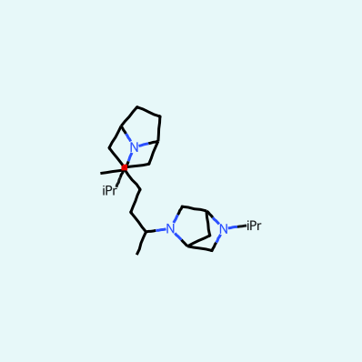 CC(C)C1CC2CCC(C1)N2C(C)CCC(C)N1CC2CC1CN2C(C)C